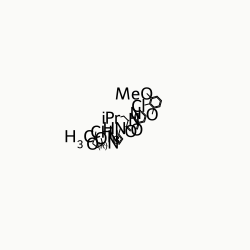 COc1cccc(Oc2cnn(C(CC(C)C)C(=O)Nc3ccn(C[C@@H]4COC(C)(C)O4)n3)c(=O)c2)c1Cl